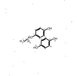 CN.Oc1ccc(O)cc1.Oc1ccc(O)cc1